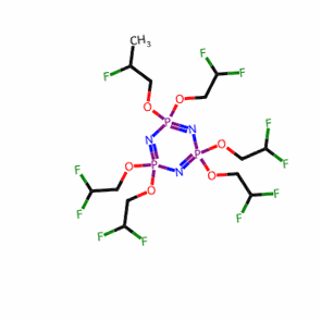 CC(F)COP1(OCC(F)F)=NP(OCC(F)F)(OCC(F)F)=NP(OCC(F)F)(OCC(F)F)=N1